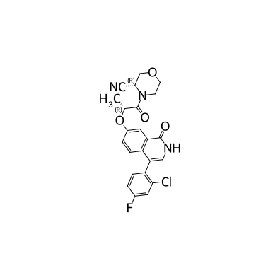 C[C@@H](Oc1ccc2c(-c3ccc(F)cc3Cl)c[nH]c(=O)c2c1)C(=O)N1CCOC[C@H]1C#N